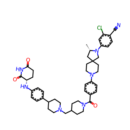 C[C@H]1CC2(CCN(c3ccc(C(=O)N4CCC(CN5CCC(c6ccc(N[C@H]7CCC(=O)NC7=O)cc6)CC5)CC4)cc3)CC2)CN1c1ccc(C#N)c(Cl)c1